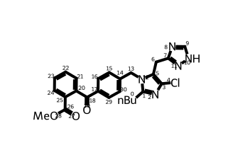 CCCCc1nc(Cl)c(Cc2nc[nH]n2)n1Cc1ccc(C(=O)c2ccccc2C(=O)OC)cc1